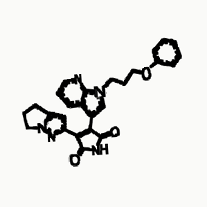 O=C1NC(=O)C(c2cn(CCCOc3ccccc3)c3ncccc23)=C1c1cc2n(n1)CCC2